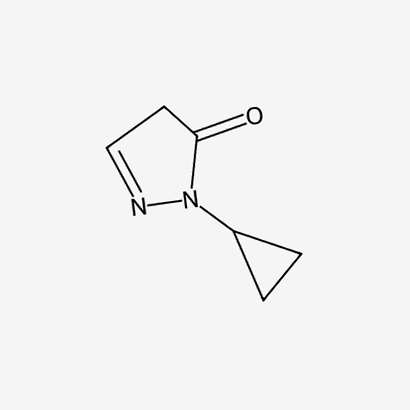 O=C1CC=NN1C1CC1